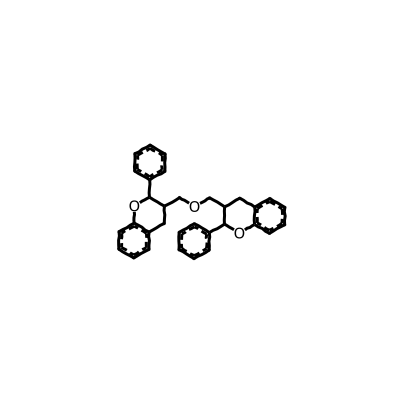 c1ccc(C2Oc3ccccc3CC2COCC2Cc3ccccc3OC2c2ccccc2)cc1